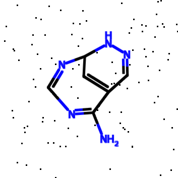 NC1=NC=NC2C=C1C=NN2